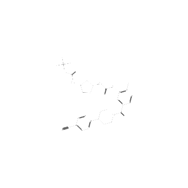 Cc1ccc(C(=O)N2CCC(c3ccc(C#N)cc3)CC2)cc1NC(=O)N[C@H]1CC[C@H](NC(=O)OC(C)(C)C)C1